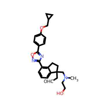 CN(CCO)CC1(CC=O)CCc2c(-c3noc(-c4ccc(OCC5CC5)cc4)n3)cccc21